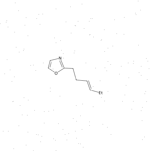 [CH2]C/C=C/CCc1ncco1